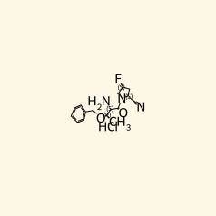 C[C@@H](OCc1ccccc1)[C@H](N)C(=O)N1C[C@@H](F)C[C@H]1C#N.Cl